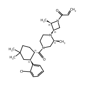 C=CC(=O)N1C[C@@H](N2CCN(C(=O)[C@H]3CCC(C)(C)C[C@@H]3c3ccccc3Cl)C[C@@H]2C)[C@H]1C